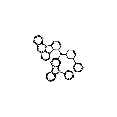 C1=CC(N(c2ccc3c4ccccc4n(-c4ccccc4)c3c2)C2C=C(c3ccccc3)C=CC2)C2C(=C1)c1c3ccccc3cc3cccc2c13